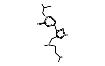 CNCCN(C)Cc1c[nH]nc1-c1ccn(CC(C)C)c(=O)c1